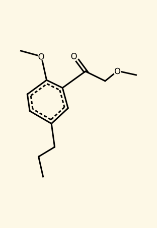 CCCc1ccc(OC)c(C(=O)COC)c1